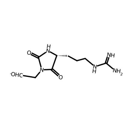 N=C(N)NCCC[C@H]1NC(=O)N(C[C]=O)C1=O